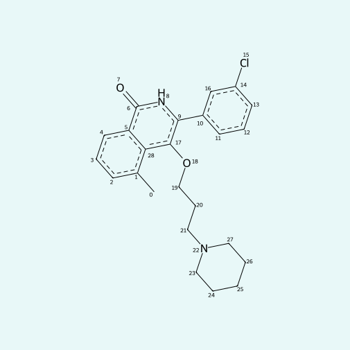 Cc1cccc2c(=O)[nH]c(-c3cccc(Cl)c3)c(OCCCN3CCCCC3)c12